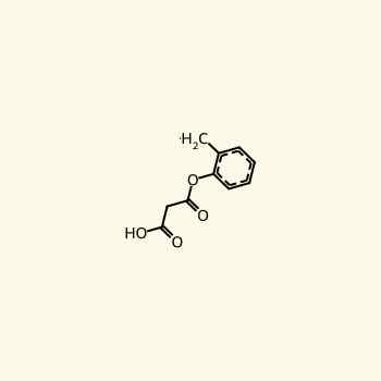 [CH2]c1ccccc1OC(=O)CC(=O)O